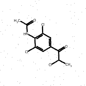 CC(=O)Nc1c(Cl)cc(C(=O)C(C)Cl)cc1Cl